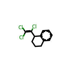 ClC(Cl)=C(Cl)C1CCCc2ccccc21